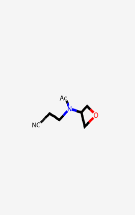 CC(=O)N(CCC#N)C1COC1